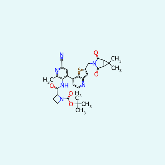 Cc1nc(C#N)cc(-c2ccnc3cc(CN4C(=O)C5C(C4=O)C5(C)C)sc23)c1NC(=O)C1CCN1C(=O)OC(C)(C)C